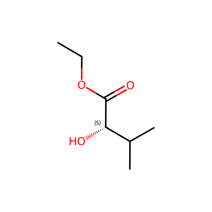 CCOC(=O)[C@@H](O)C(C)C